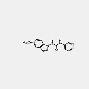 COc1ccc2c(ccn2NC(=O)Nc2cccnc2)c1